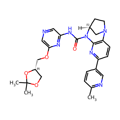 Cc1ccc(-c2ccc3c(n2)N(C(=O)Nc2cncc(OC[C@@H]4COC(C)(C)O4)n2)[C@H]2CCN3C2)cn1